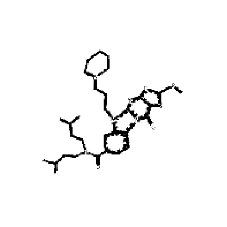 CSc1nc2nc3n(CCCN4CCCCC4)c4cc(C(=O)N(CCC(C)C)CCC(C)C)ccc4n3c(=O)c2s1